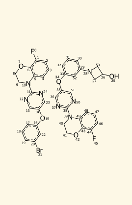 Fc1cccc2c1OCCN2c1ncc(Oc2cccc(Br)c2)cn1.OC1CN(c2cccc(Oc3cnc(N4CCOc5c(F)cccc54)nc3)c2)C1